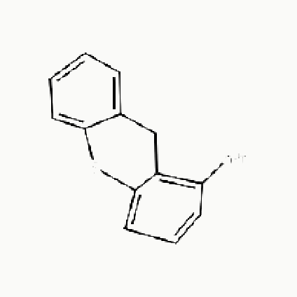 CCCc1cccc2c1Cc1ccccc1S2